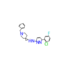 Fc1ccc(Cl)c(-c2ccc(NC[C@@H]3CC34CCN(Cc3ccccc3)CC4)nn2)c1